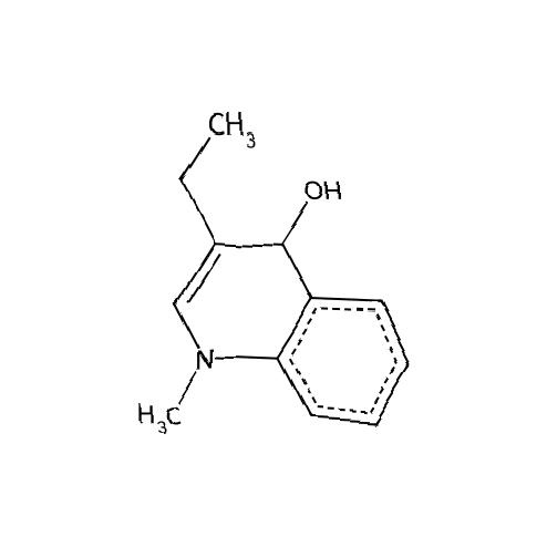 CCC1=CN(C)c2ccccc2C1O